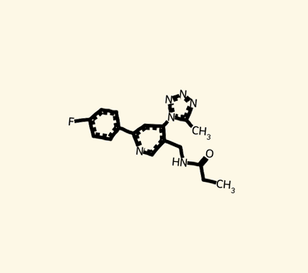 CCC(=O)NCc1cnc(-c2ccc(F)cc2)cc1-n1nnnc1C